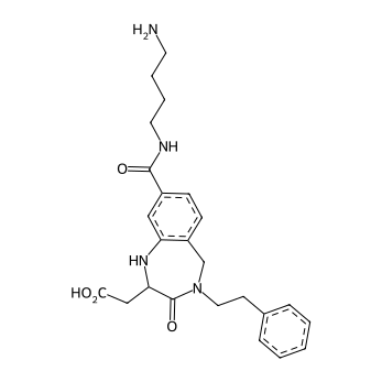 NCCCCNC(=O)c1ccc2c(c1)NC(CC(=O)O)C(=O)N(CCc1ccccc1)C2